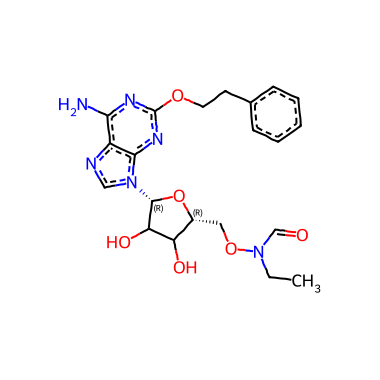 CCN(C=O)OC[C@H]1O[C@@H](n2cnc3c(N)nc(OCCc4ccccc4)nc32)C(O)C1O